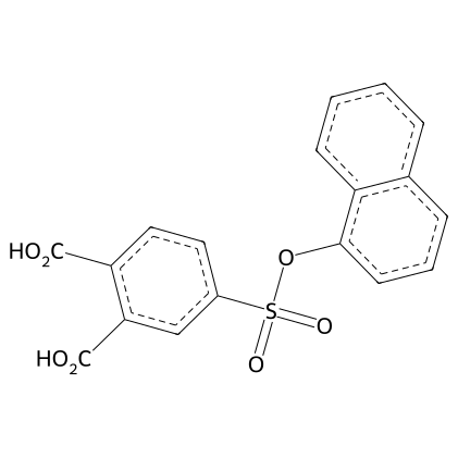 O=C(O)c1ccc(S(=O)(=O)Oc2cccc3ccccc23)cc1C(=O)O